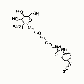 CC(=O)NC1C(O)[C@@H](O)C(CO)O[C@H]1OCCOCCOCCNC(=S)Nc1ccc(N=C=S)cc1